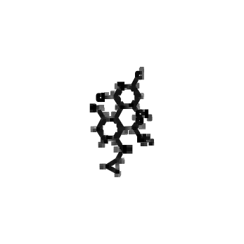 Cc1cc(Cl)nc(Cl)c1-c1c(Br)cnc(NC2CC2)c1C(N)=O